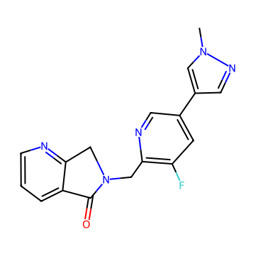 Cn1cc(-c2cnc(CN3Cc4ncccc4C3=O)c(F)c2)cn1